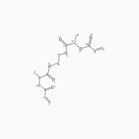 C=CC(=O)OC(C)C(=O)OCCOC(=O)C(C)OC(=O)C=C